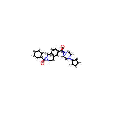 O=C(c1ccc2c(c1)CCN(C(=O)C1CCCCC1)C2)N1CCN(C2CCCC2)CC1